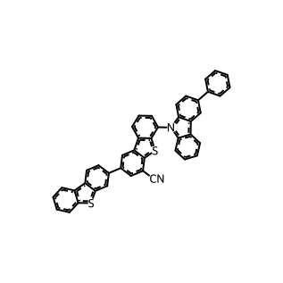 N#Cc1cc(-c2ccc3c(c2)sc2ccccc23)cc2c1sc1c(-n3c4ccccc4c4cc(-c5ccccc5)ccc43)cccc12